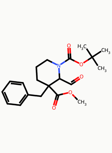 COC(=O)C1(Cc2ccccc2)CCCN(C(=O)OC(C)(C)C)C1C=O